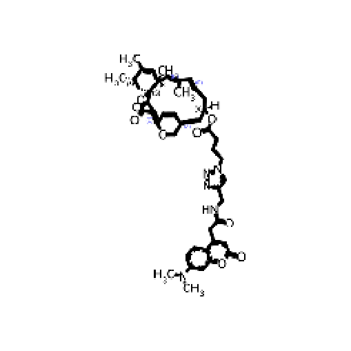 CC1=C[C@]2(C)/C=C(C)/C=C/C[C@@H](OC(=O)CCCn3cc(CNC(=O)Cc4cc(=O)oc5cc(N(C)C)ccc45)nn3)/C=C3C=C/C(=C4\C(=O)O[C@]2(C[C@@H]1C)C4=O)OC/3